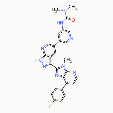 CN(C)C(=O)Nc1cncc(-c2cnc3[nH]nc(-c4nc5c(-c6ccc(F)cc6)ccnc5n4C)c3c2)c1